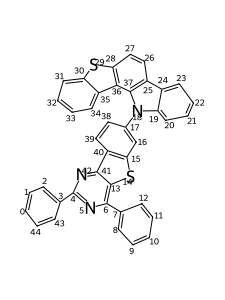 c1ccc(-c2nc(-c3ccccc3)c3sc4cc(-n5c6ccccc6c6ccc7sc8ccccc8c7c65)ccc4c3n2)cc1